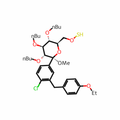 CCCCO[C@H]1[C@H](OCCCC)[C@@H](COS)O[C@@](OC)(c2ccc(Cl)c(Cc3ccc(OCC)cc3)c2)[C@@H]1OCCCC